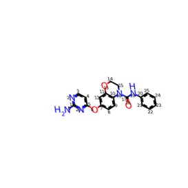 Nc1nccc(Oc2ccc3c(c2)OCCN3C(=O)Nc2ccccc2)n1